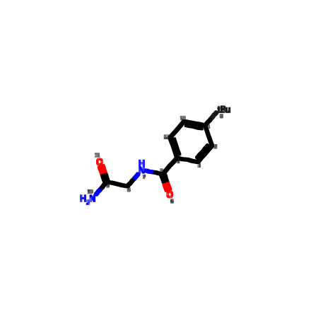 CC(C)(C)c1ccc(C(=O)NCC(N)=O)cc1